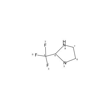 FC(F)(F)C1[N]CCN1